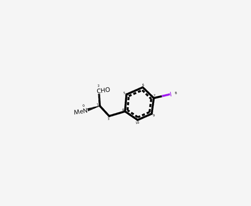 CN[C@@H](C=O)Cc1ccc(I)cc1